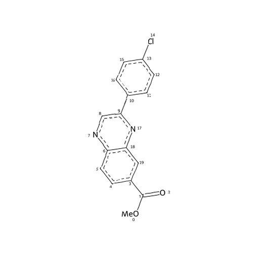 COC(=O)c1ccc2ncc(-c3ccc(Cl)cc3)nc2c1